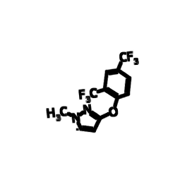 Cn1[c]cc(Oc2ccc(C(F)(F)F)cc2C(F)(F)F)n1